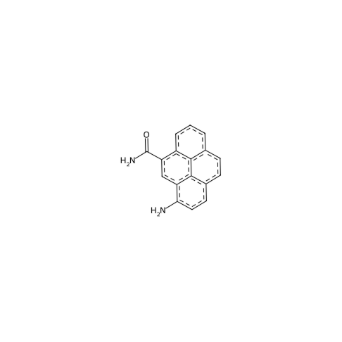 NC(=O)c1cc2c(N)ccc3ccc4cccc1c4c32